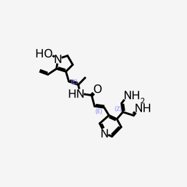 C=CC1=C(/C=C(\C)NC(=O)/C=C/c2cnccc2/C(C=N)=C/N)CCN1O